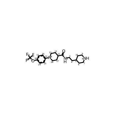 O=C(NCCC1CCNCC1)C1CCN(c2ccc(OC(F)(F)F)cc2)CC1